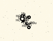 CC(=O)O[C@@]12CO[C@@H]1C[C@H](O)[C@@]1(C)C(=O)[C@H](O)C3=C(C)[C@@H](OC(=O)[C@H](O)C(NC(=O)OC(C)(C)C)c4ccccc4)C[C@@](O)([C@@H](OC(=O)c4ccccc4)[C@H]21)C3(C)C